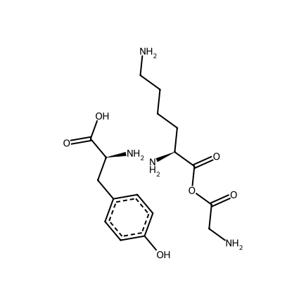 NCCCC[C@H](N)C(=O)OC(=O)CN.N[C@@H](Cc1ccc(O)cc1)C(=O)O